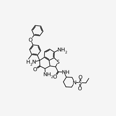 CCS(=O)(=O)N1CCCC(NC(=O)C2Sc3c(N)ccc4c3C2C(N)C(=O)C4(N)c2ccc(Oc3ccccc3)cc2C)C1